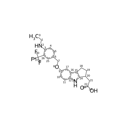 CCNc1ccc(COc2ccc3[nH]c4c(c3c2)CCC4CC(=O)O)cc1C(F)(F)F